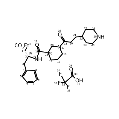 CCOC(=O)C[C@@H](Cc1ccccc1)NC(=O)[C@@H]1CCCN(C(=O)CCC2CCNCC2)C1.O=C(O)C(F)(F)F